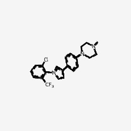 CN1CCN(c2ccc(-c3ccn(-c4c(Cl)cccc4C(F)(F)F)c3)cc2)CC1